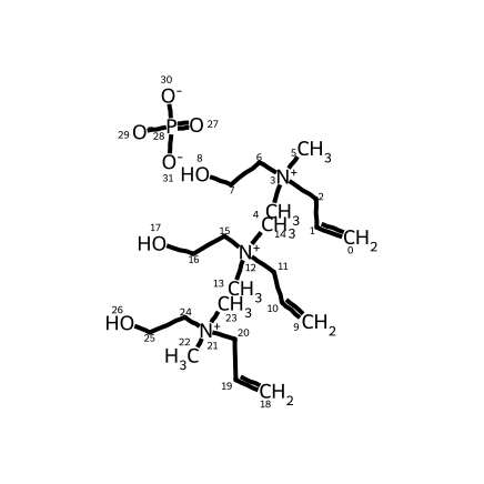 C=CC[N+](C)(C)CCO.C=CC[N+](C)(C)CCO.C=CC[N+](C)(C)CCO.O=P([O-])([O-])[O-]